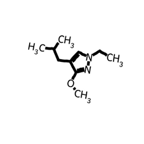 CCn1cc(CC(C)C)c(OC)n1